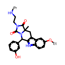 CCOc1ccc2[nH]c3c(c2c1)CC1(C)C(=O)N(CCNC(C)C)C(=O)N1C3c1cccc(O)c1